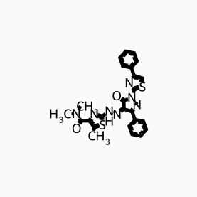 Cc1sc(N/N=C2\C(=O)N(c3nc(-c4ccccc4)cs3)N=C2c2ccccc2)nc1C(=O)N(C)C